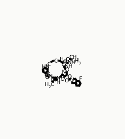 C=C[C@@H]1C[C@@]12NC(=O)[C@@H]1C[C@@H](OC(=O)N3Cc4cccc(F)c4C3)CN1C(=O)[C@@H](NC(=O)NC(C)(C)C)CCCCCCCNc1ccccc1S(=O)(=O)NC2=O